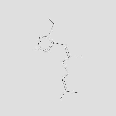 CCn1cncc1C=C(C)CCC=C(C)C